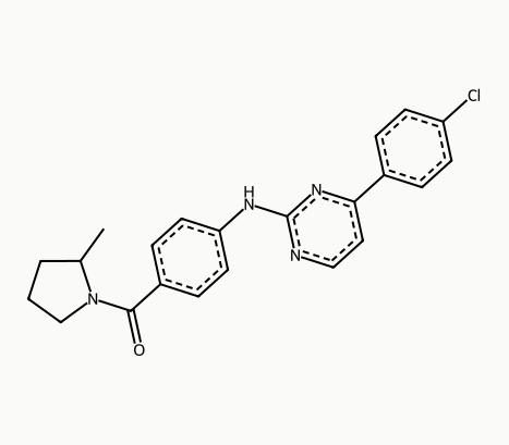 CC1CCCN1C(=O)c1ccc(Nc2nccc(-c3ccc(Cl)cc3)n2)cc1